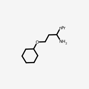 [CH2]CCC(N)CCOC1CCCCC1